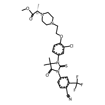 COC(=O)[C@H](C)N1CCN(CCOc2ccc(N3C(=S)N(c4ccc(C#N)c(C(F)(F)F)c4)C(=O)C3(C)C)cc2Cl)CC1